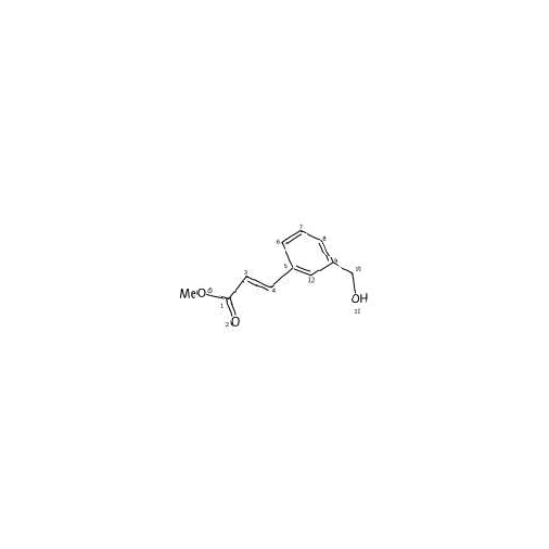 COC(=O)C=Cc1cccc(CO)c1